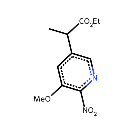 CCOC(=O)C(C)c1cnc([N+](=O)[O-])c(OC)c1